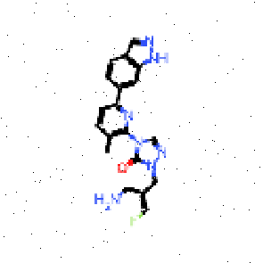 Cc1ccc(-c2ccc3cn[nH]c3c2)nc1-n1cnn(C/C(=C/F)CN)c1=O